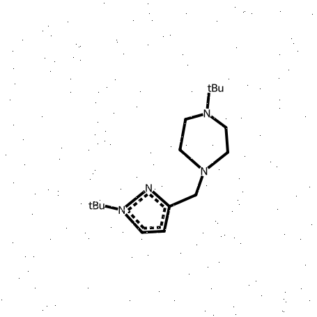 CC(C)(C)N1CCN(Cc2ccn(C(C)(C)C)n2)CC1